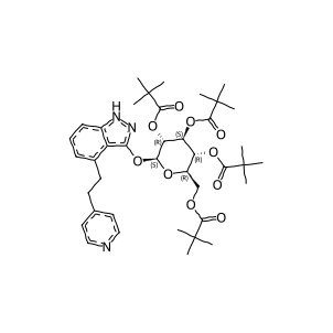 CC(C)(C)C(=O)OC[C@H]1O[C@@H](Oc2n[nH]c3cccc(CCc4ccncc4)c23)[C@H](OC(=O)C(C)(C)C)[C@@H](OC(=O)C(C)(C)C)[C@@H]1OC(=O)C(C)(C)C